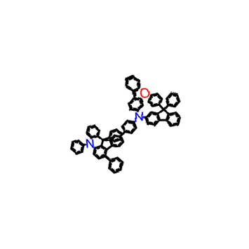 c1ccc(-c2ccc3c4c2-c2ccc(-c5ccc(N(c6ccc7c(c6)C(c6ccccc6)(c6ccccc6)c6ccccc6-7)c6ccc7c(c6)oc6ccccc67)cc5)cc2C4(c2ccccc2)c2ccccc2N3c2ccccc2)cc1